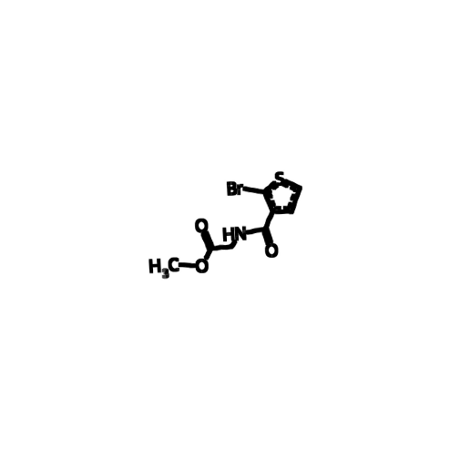 COC(=O)CNC(=O)c1ccsc1Br